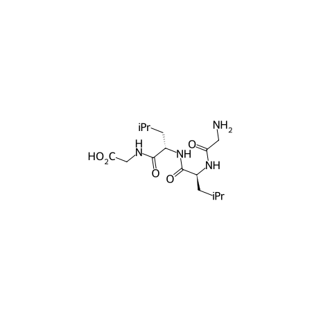 CC(C)C[C@H](NC(=O)CN)C(=O)N[C@@H](CC(C)C)C(=O)NCC(=O)O